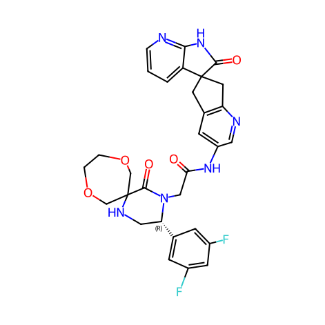 O=C(CN1C(=O)C2(COCCOC2)NC[C@H]1c1cc(F)cc(F)c1)Nc1cnc2c(c1)CC1(C2)C(=O)Nc2ncccc21